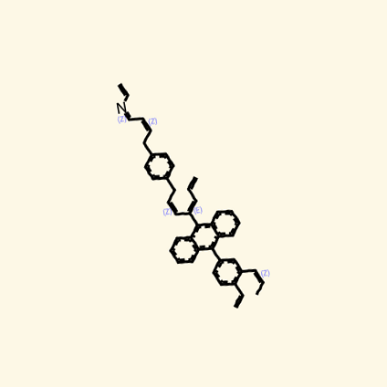 C=C/C=C(\C=C/Cc1ccc(C/C=C\C=N/C=C)cc1)c1c2ccccc2c(-c2ccc(C=C)c(/C=C\C)c2)c2ccccc12